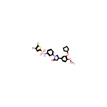 COc1ccc(C2CC(=O)N(c3cccc(NS(=O)(=O)c4cc(Br)c(Cl)s4)c3)C2)cc1OC1CCCC1